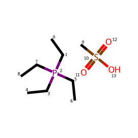 CC[P](CC)(CC)CC.CS(=O)(=O)O